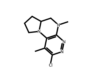 Cc1c(Cl)nnc2c1N1CCCC1CN2C